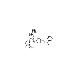 Br.Br.Cc1ccc2c(c1O)C[C@@H](C1CCN(CCC(C)c3ccccc3)CC1)O[C@H]2CN